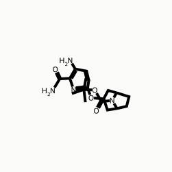 CC(C)(C)OC(=O)N1C2CCC1CC(Oc1ccc(N)c(C(N)=O)n1)C2